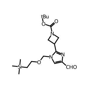 CC(C)(C)OC(=O)N1CC(c2nc(C=O)cn2COCC[Si](C)(C)C)C1